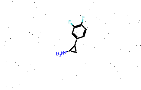 N[C@@H]1CC1c1ccc(F)c(F)c1